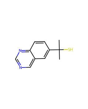 CC(C)(S)c1ccc2ncncc2c1